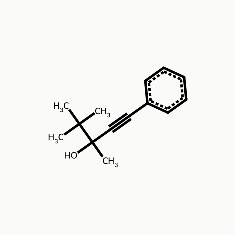 CC(C)(C)C(C)(O)C#Cc1ccccc1